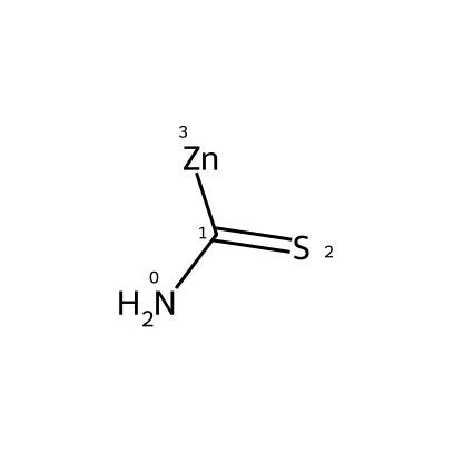 N[C](=S)[Zn]